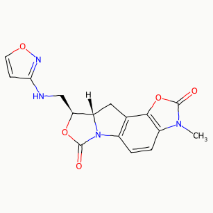 Cn1c(=O)oc2c3c(ccc21)N1C(=O)O[C@@H](CNc2ccon2)[C@@H]1C3